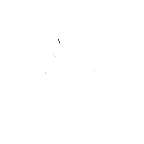 CN1c2ncnc3cc(B(O)O)c(Cl)c(c23)OC[C@@H]1CC#N